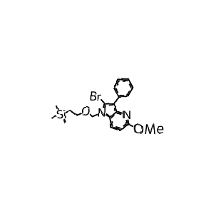 COc1ccc2c(n1)c(-c1ccccc1)c(Br)n2COCC[Si](C)(C)C